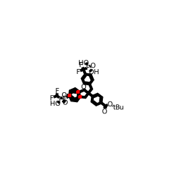 CC(C)(C)OC(=O)c1ccc(C(Cc2ccc(OP(=O)(O)C(F)F)cc2)(Cc2ccc(C(F)(F)P(=O)(O)O)cc2)C(=O)c2ccc(F)cc2)cc1